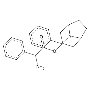 NC(C(=O)OC1CC2CCC(C1)N2Cc1ccccc1)c1ccccc1